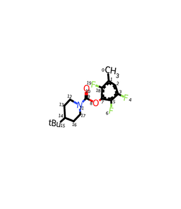 Cc1cc(F)c(F)c(OC(=O)N2CCC(C(C)(C)C)CC2)c1F